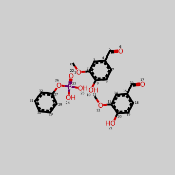 COc1cc(C=O)ccc1O.COc1cc(C=O)ccc1O.O=P(O)(O)Oc1ccccc1